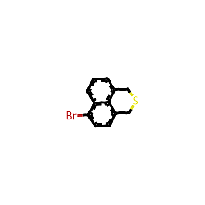 Brc1ccc2c3c(cccc13)CSC2